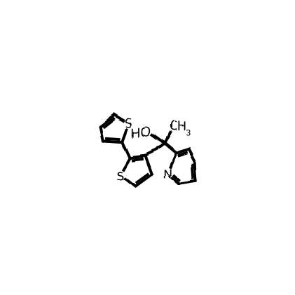 CC(O)(c1ccccn1)c1ccsc1-c1cccs1